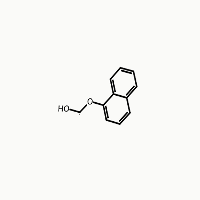 O[CH]Oc1cccc2ccccc12